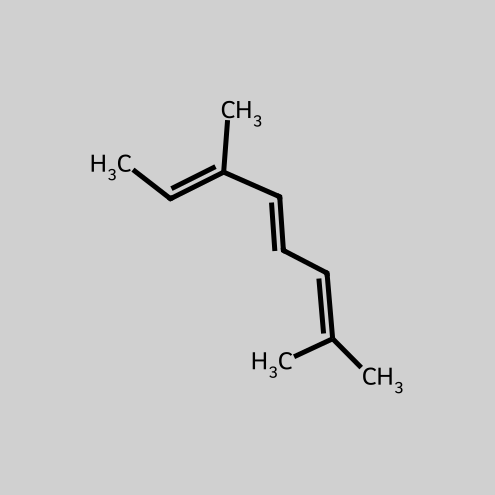 CC=C(C)/C=C/C=C(C)C